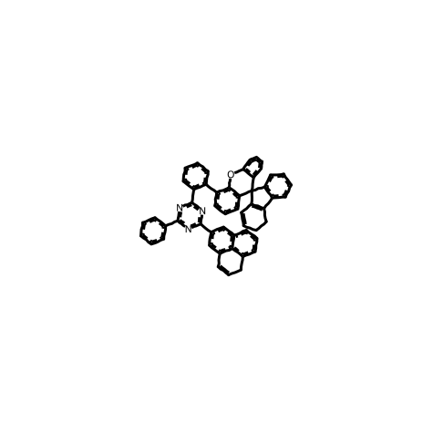 C1=CC2=C(CC1)c1ccccc1C21c2ccccc2Oc2c(-c3ccccc3-c3nc(-c4ccccc4)nc(-c4cc5c6c(cccc6c4)CC=C5)n3)cccc21